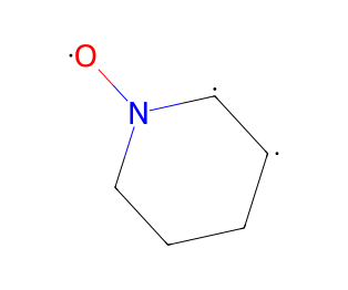 [O]N1[CH][CH]CCC1